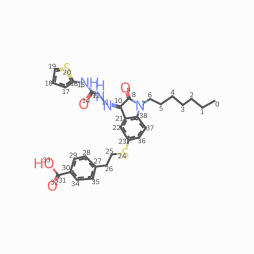 CCCCCCCN1C(=O)C(=NNC(=O)Nc2cccs2)c2cc(SCCc3ccc(C(=O)O)cc3)ccc21